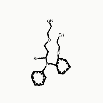 OCCOCCC(Br)P(c1ccccc1)c1ccccc1OCCO